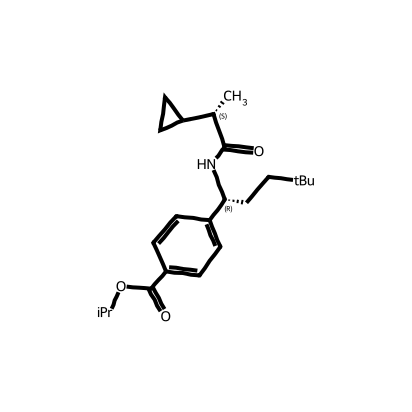 CC(C)OC(=O)c1ccc([C@@H](CCC(C)(C)C)NC(=O)[C@@H](C)C2CC2)cc1